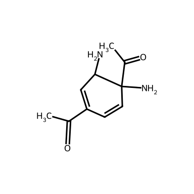 CC(=O)C1=CC(N)C(N)(C(C)=O)C=C1